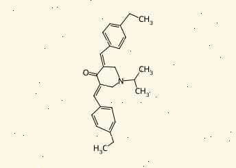 CCc1ccc(C=C2CN(C(C)C)CC(=Cc3ccc(CC)cc3)C2=O)cc1